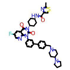 Cc1nc(C(=O)N[C@H]2CC[C@@H](n3c(=O)c4cc(F)cnc4n(-c4cccc(-c5ccc(CN6CCC(N7CCCC7)CC6)cc5)c4)c3=O)CC2)cs1